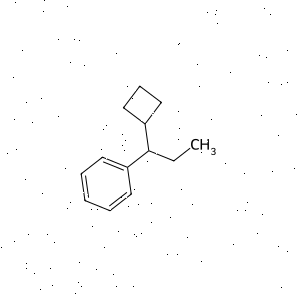 CCC(c1ccccc1)C1CCC1